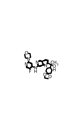 CC(O)(c1ccc2cnc(Nc3cc(N4CCOCC4)ncc3F)cc2n1)C1CCC2(CC1)OCCO2